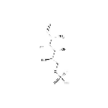 N[C@@H](C=O)[C@@H](O)[C@H](O)[C@H](O)COS(=O)(=O)O